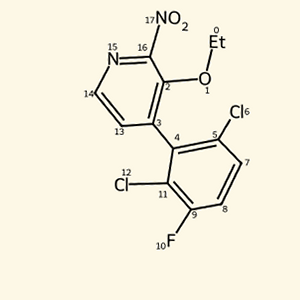 CCOc1c(-c2c(Cl)ccc(F)c2Cl)ccnc1[N+](=O)[O-]